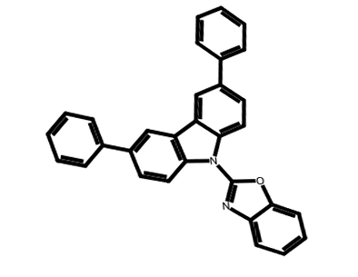 c1ccc(-c2ccc3c(c2)c2cc(-c4ccccc4)ccc2n3-c2nc3ccccc3o2)cc1